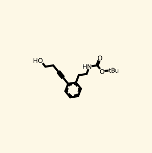 CC(C)(C)OC(=O)NCCc1ccccc1C#CCCO